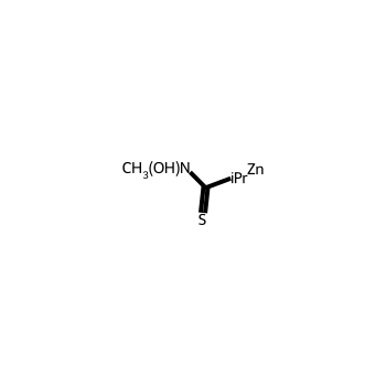 CC(C)C(=S)N(C)O.[Zn]